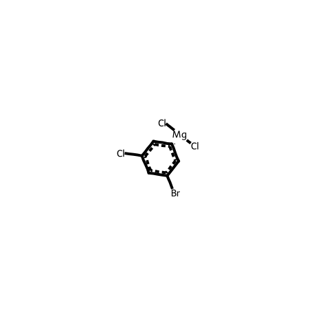 Clc1c[c]cc(Br)c1.[Cl][Mg][Cl]